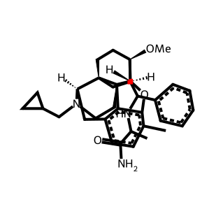 CO[C@]12CC[C@@]3(C[C@@H]1C(NC(C)C(N)=O)c1ccccc1)[C@H]1Cc4ccc(C)c5c4[C@@]3(CCN1CC1CC1)[C@H]2O5